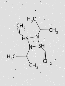 C=C[SH]1N(C(C)C)[SH](C=C)N1C(C)C